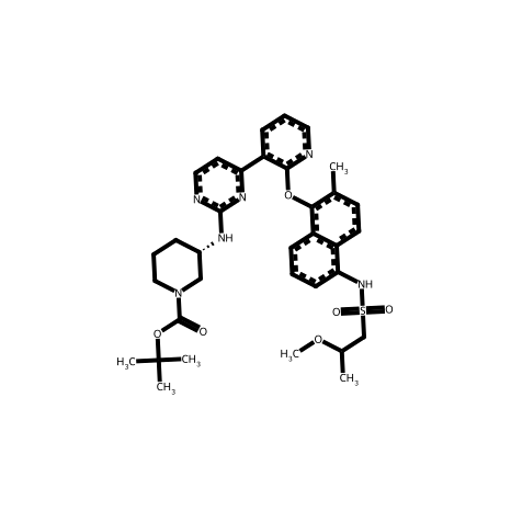 COC(C)CS(=O)(=O)Nc1cccc2c(Oc3ncccc3-c3ccnc(N[C@H]4CCCN(C(=O)OC(C)(C)C)C4)n3)c(C)ccc12